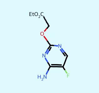 CCOC(=O)COc1ncc(F)c(N)n1